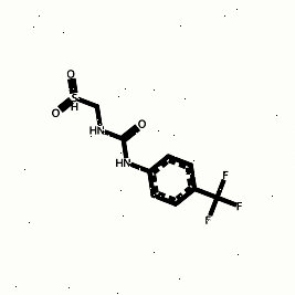 O=C(NC[SH](=O)=O)Nc1ccc(C(F)(F)F)cc1